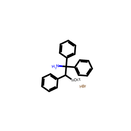 Br.CCCCCCCCC(c1ccccc1)C(N)(c1ccccc1)c1ccccc1